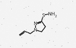 C=CCN1CCC(SN)=N1